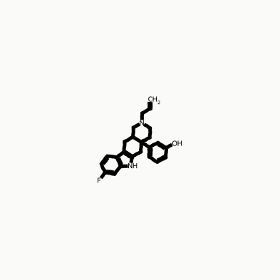 C=CCN1CCC2(c3cccc(O)c3)Cc3[nH]c4cc(F)ccc4c3CC2C1